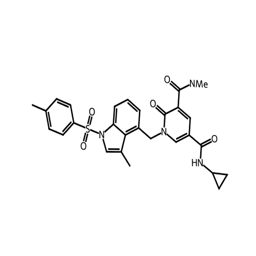 CNC(=O)c1cc(C(=O)NC2CC2)cn(Cc2cccc3c2c(C)cn3S(=O)(=O)c2ccc(C)cc2)c1=O